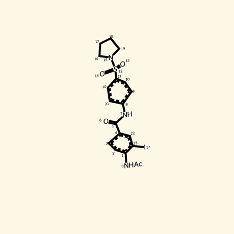 CC(=O)Nc1ccc(C(=O)Nc2ccc(S(=O)(=O)N3CCCC3)cc2)cc1I